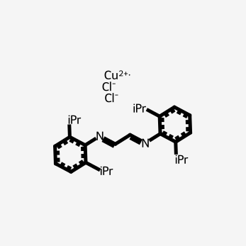 CC(C)c1cccc(C(C)C)c1N=CC=Nc1c(C(C)C)cccc1C(C)C.[Cl-].[Cl-].[Cu+2]